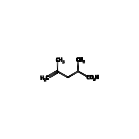 C=C(C)CC(C)C(=O)O